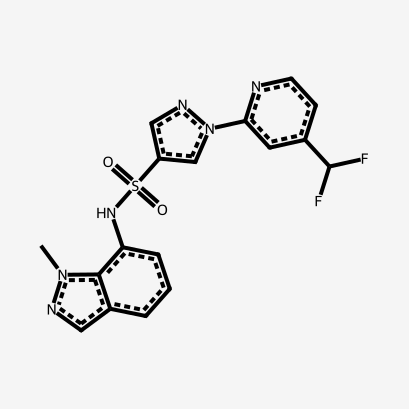 Cn1ncc2cccc(NS(=O)(=O)c3cnn(-c4cc(C(F)F)ccn4)c3)c21